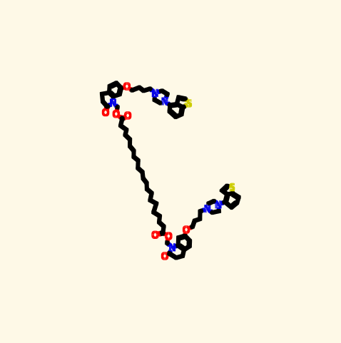 O=C(CCCCCCCCCCCCCCCCCCCCC(=O)OCN1C(=O)CCc2ccc(OCCCCN3CCN(c4cccc5sccc45)CC3)cc21)OCN1C(=O)CCc2ccc(OCCCCN3CCN(c4cccc5sccc45)CC3)cc21